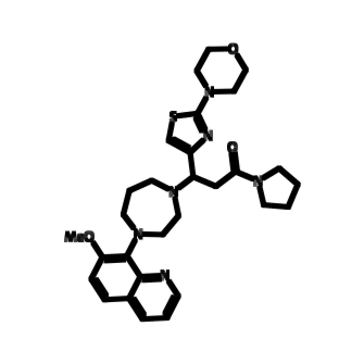 COc1ccc2cccnc2c1N1CCCN(C(CC(=O)N2CCCC2)c2csc(N3CCOCC3)n2)CC1